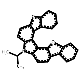 CC(C)n1c2ccc3c4ccccc4oc3c2c2c3c(ccc21)oc1ccccc13